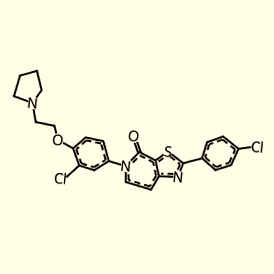 O=c1c2sc(-c3ccc(Cl)cc3)nc2ccn1-c1ccc(OCCN2CCCC2)c(Cl)c1